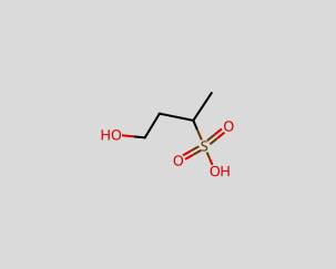 CC(CCO)S(=O)(=O)O